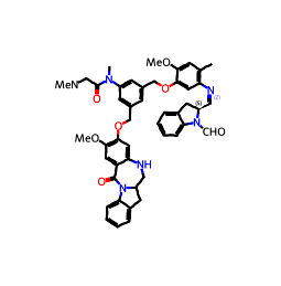 CNCC(=O)N(C)c1cc(COc2cc(/N=C\[C@@H]3Cc4ccccc4N3C=O)c(C)cc2OC)cc(COc2cc3c(cc2OC)C(=O)N2c4ccccc4CC2CN3)c1